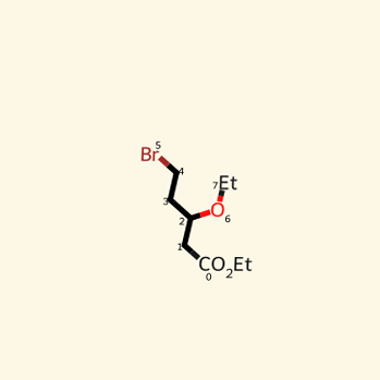 CCOC(=O)CC(CCBr)OCC